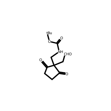 CC(C)(C)OC(=O)NCC1(CC=O)C(=O)CCC1=O